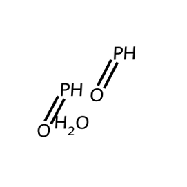 O.O=P.O=P